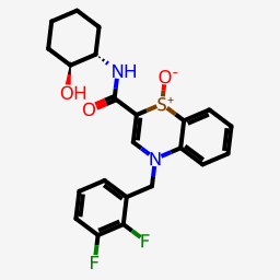 O=C(N[C@H]1CCCC[C@@H]1O)C1=CN(Cc2cccc(F)c2F)c2ccccc2[S+]1[O-]